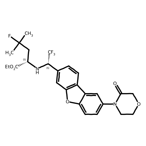 CCOC(=O)[C@H](CC(C)(C)F)N[C@@H](c1ccc2c(c1)oc1ccc(N3CCOCC3=O)cc12)C(F)(F)F